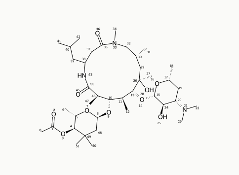 CC(=O)O[C@H]1[C@H](C)O[C@@H](O[C@H]2[C@H](C)[C@@H](O[C@@H]3O[C@H](C)C[C@H](N(C)C)[C@H]3O)[C@](C)(O)C[C@@H](C)CN(C)C(=O)CC(CC(C)C)NC(=O)[C@@H]2C)CC1(C)C